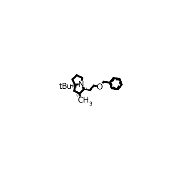 C[C@H]1C[C@@]2(C(C)(C)C)CCCN2[C@H]1CCOCc1ccccc1